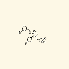 O=C1C=C(CN2CCO[C@H](OCc3cccc(Br)c3)[C@@H]2c2ccc(F)cc2)CN1